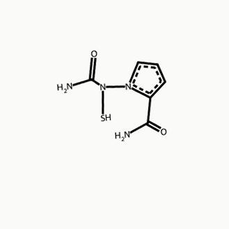 NC(=O)c1cccn1N(S)C(N)=O